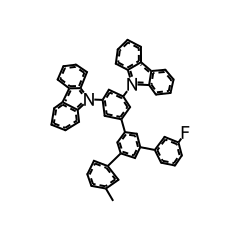 Cc1cccc(-c2cc(-c3cccc(F)c3)cc(-c3cc(-n4c5ccccc5c5ccccc54)cc(-n4c5ccccc5c5ccccc54)c3)c2)c1